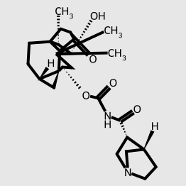 C[C@H]1[C@H](O)C(C)(C)C[C@@H](OC(=O)NC(=O)[C@H]2CN3CC[C@@H]2C3)[C@]23C[C@@H]2CCC12CCC(=O)C23